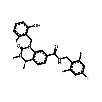 C[C@@H]1c2ccc(C(=O)NCc3c(F)cc(F)cc3F)cc2N(Cc2c(O)cccc2F)C(=O)N1C